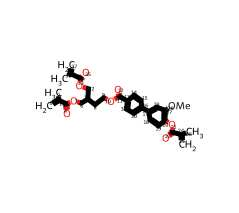 C=C(C)C(=O)OCC(CCOC(=O)c1ccc(-c2ccc(OC(=O)C(=C)C)c(OC)c2)cc1)COC(=O)C(=C)C